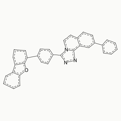 c1ccc(-c2ccc3ccn4c(-c5ccc(-c6cccc7c6oc6ccccc67)cc5)nnc4c3c2)cc1